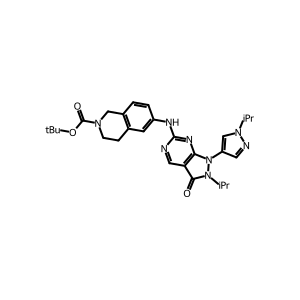 CC(C)n1cc(-n2c3nc(Nc4ccc5c(c4)CCN(C(=O)OC(C)(C)C)C5)ncc3c(=O)n2C(C)C)cn1